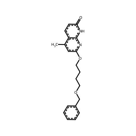 Cc1cc(OCCCCOCc2ccccc2)nc2[nH]c(=O)ccc12